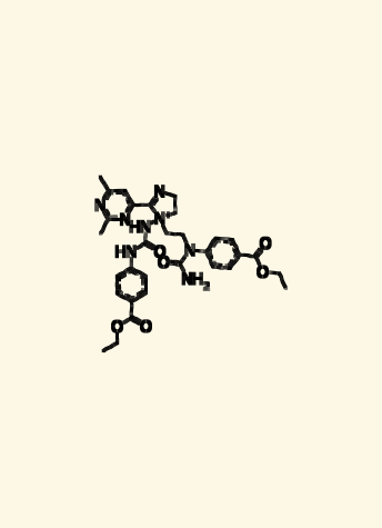 CCOC(=O)c1ccc(NC(=O)N[N+]2(CCN(C(N)=O)c3ccc(C(=O)OCC)cc3)CCN=C2c2cc(C)nc(C)n2)cc1